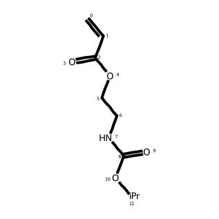 C=CC(=O)OCCNC(=O)OC(C)C